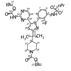 CCCS(=O)(=O)Nc1cccc(-c2nc(C(C)(C)C3CCN(C(=O)OC(C)(C)C)CC3)sc2-c2ccnc(NC(=O)OC(C)(C)C)n2)c1F